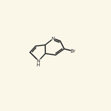 BrC1=CC2NC=CC2N=C1